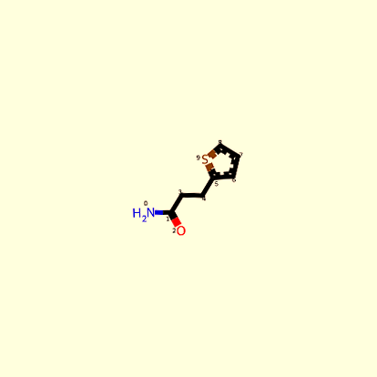 NC(=O)CCc1cccs1